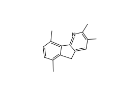 Cc1cc2c(nc1C)-c1c(C)ccc(C)c1C2